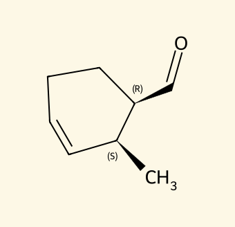 C[C@H]1C=CCC[C@H]1C=O